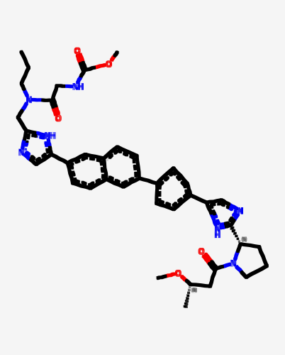 CCCN(Cc1ncc(-c2ccc3cc(-c4ccc(-c5cnc([C@@H]6CCCN6C(=O)C[C@H](C)OC)[nH]5)cc4)ccc3c2)[nH]1)C(=O)CNC(=O)OC